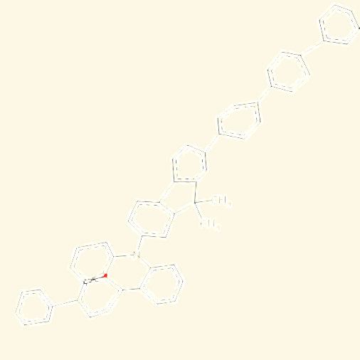 CC1(C)c2cc(-c3ccc(-c4ccc(-c5ccccc5)cc4)cc3)ccc2-c2ccc(N(c3ccccc3)c3ccccc3-c3ccc(-c4ccccc4)cc3)cc21